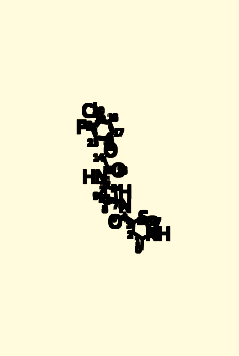 CC1CC(C(=O)NC23CCC(NC(=O)COc4ccc(Cl)c(F)c4)(C2)C3)SON1